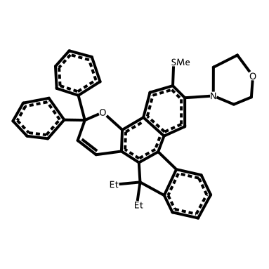 CCC1(CC)c2ccccc2-c2c1c1c(c3cc(SC)c(N4CCOCC4)cc23)OC(c2ccccc2)(c2ccccc2)C=C1